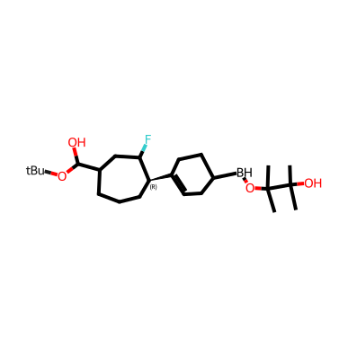 CC(C)(C)OC(O)C1CCC[C@H](C2=CCC(BOC(C)(C)C(C)(C)O)CC2)C(F)C1